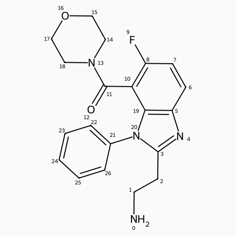 NCCc1nc2ccc(F)c(C(=O)N3CCOCC3)c2n1-c1ccccc1